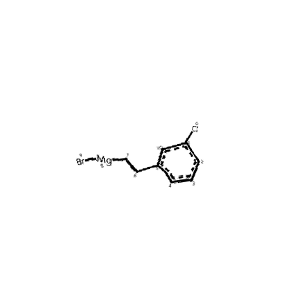 Clc1cccc(C[CH2][Mg][Br])c1